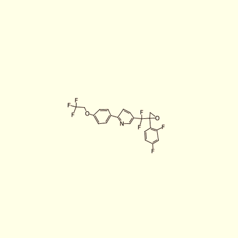 Fc1ccc(C2(C(F)(F)c3ccc(-c4ccc(OCC(F)(F)F)cc4)nc3)CO2)c(F)c1